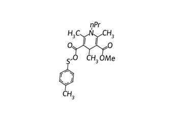 CCCN1C(C)=C(C(=O)OC)C(C)C(C(=O)OSc2ccc(C)cc2)=C1C